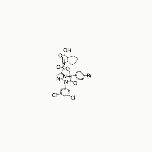 C[C@@]1(c2ccc(Br)cc2)C(=O)N(c2cc(Cl)cc(Cl)c2)c2ncc(S(=O)(=O)NC3CCCCC3C(=O)O)n21